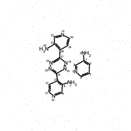 Nc1cccnc1.Nc1cnccc1-c1nnc(-c2ccncc2N)nn1